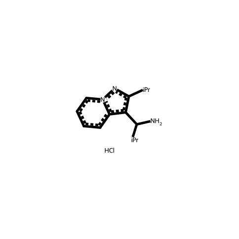 CC(C)c1nn2ccccc2c1C(N)C(C)C.Cl